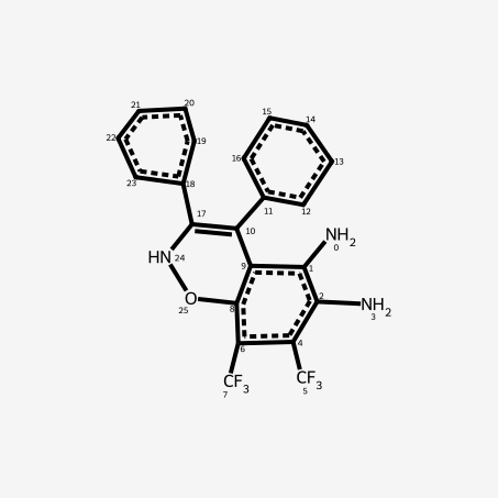 Nc1c(N)c(C(F)(F)F)c(C(F)(F)F)c2c1C(c1ccccc1)=C(c1ccccc1)NO2